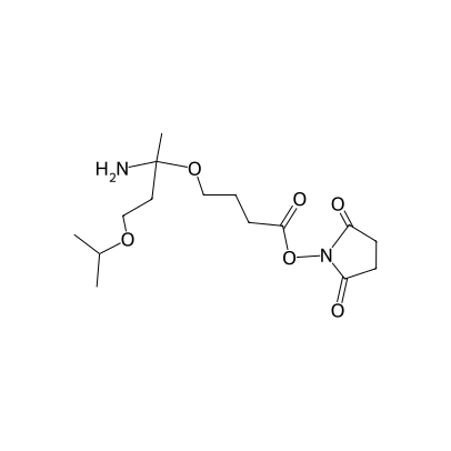 CC(C)OCCC(C)(N)OCCCC(=O)ON1C(=O)CCC1=O